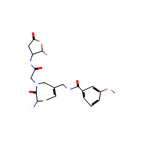 COc1cccc(C(=O)NCC2=CCC(N)C(=O)N(CC(=O)NC3CC(=O)OC3O)C2)c1